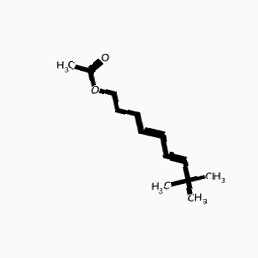 CC(=O)OCCCC=CC=CC(C)(C)C